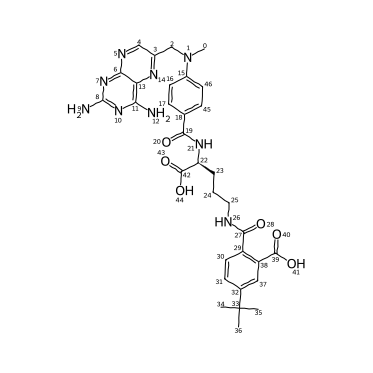 CN(Cc1cnc2nc(N)nc(N)c2n1)c1ccc(C(=O)N[C@@H](CCCNC(=O)c2ccc(C(C)(C)C)cc2C(=O)O)C(=O)O)cc1